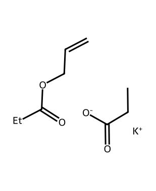 C=CCOC(=O)CC.CCC(=O)[O-].[K+]